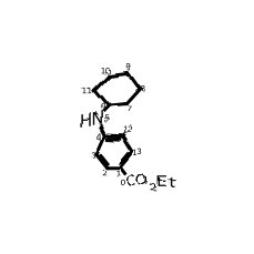 CCOC(=O)c1ccc(NC2CCCCC2)cc1